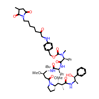 CC[C@H](C)[C@H](NC(=O)[C@@H](NC(=O)[C@H](C(C)C)N(C)C(=O)OCc1ccc(NCC(=O)CCCCCN2C(=O)CC(C)C2=O)cc1)C(C)C)[C@@H](CC(=O)N1CCC[C@H]1[C@H](OC)[C@@H](C)C(=O)N[C@H](C)[C@@H](O)c1ccccc1)OC